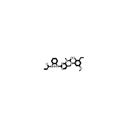 C=CC(=O)Nc1ccccc1Nc1ncc2c(n1)N(C)C(=O)N(c1cc(OC)cc(CC)c1Cl)C2